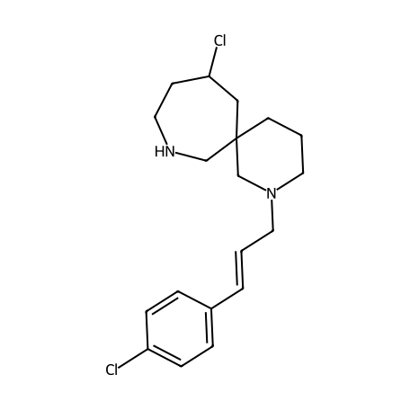 Clc1ccc(C=CCN2CCCC3(CNCCC(Cl)C3)C2)cc1